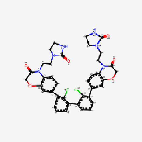 O=C1NCCN1CCN1C(=O)COc2cc(-c3cccc(-c4cccc(-c5ccc6c(c5)OCC(=O)N6CCN5CCNC5=O)c4Cl)c3Cl)ccc21